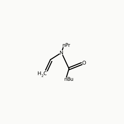 C=CN(CCC)C(=O)CCCC